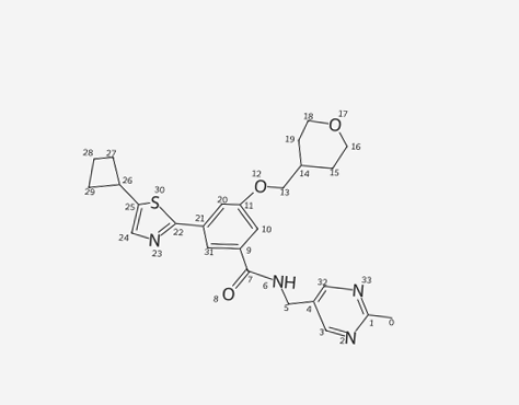 Cc1ncc(CNC(=O)c2cc(OCC3CCOCC3)cc(-c3ncc(C4CCC4)s3)c2)cn1